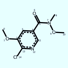 COc1cc(C(=O)N(C)OC)cnc1Cl